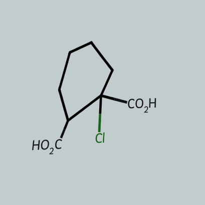 O=C(O)C1CCCCC1(Cl)C(=O)O